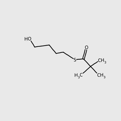 CC(C)(C)C(=O)SCCCCO